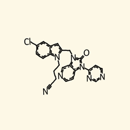 N#CCCCn1c(Cn2c(=O)n(-c3ccncn3)c3ccncc32)cc2cc(Cl)ccc21